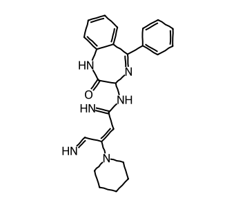 N=C/C(=C\C(=N)NC1N=C(c2ccccc2)c2ccccc2NC1=O)N1CCCCC1